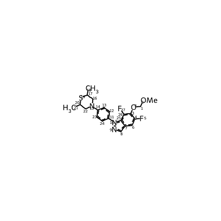 COCOc1c(F)cc2cnn(-c3ccc(N4CC(C)SC(C)C4)cc3)c2c1F